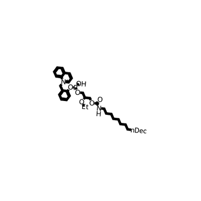 CCCCCCCCCCCCCCCCCCNC(=O)OCC(COP(O)Oc1ccccc1C[n+]1cccc2ccccc21)OCC